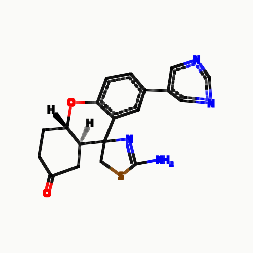 NC1=NC2(CS1)c1cc(-c3cncnc3)ccc1O[C@H]1CCC(=O)C[C@@H]12